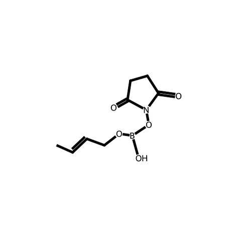 CC=CCOB(O)ON1C(=O)CCC1=O